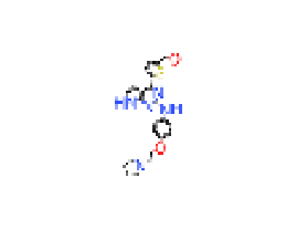 O=Cc1ccc(-c2nc(Nc3ccc(OCCN4CCCC4)cc3)nc3[nH]ccc23)s1